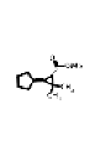 COC(=O)[C@H]1C(=C2CCCC2)C1(C)C